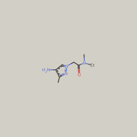 CCN(C)C(=O)Cn1cc(N)c(C)n1